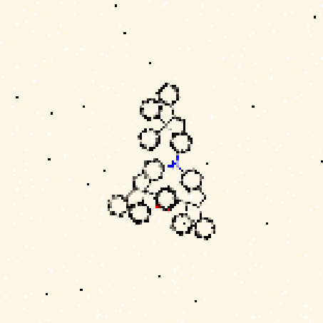 C1=C(c2ccccc2)C(c2ccccc2)(c2ccccc2)c2cc(N(c3ccc4c(c3)C(c3ccccc3)(c3ccccc3)C(c3ccccc3)=C4)c3ccc4c(c3)C(c3ccccc3)(c3ccccc3)C(c3ccccc3)C4)ccc21